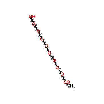 C=CC(=O)OCCCCOCCCCOCCCCOCCCCOCCCCOCCCCOCCCCOCCCCOCCCCO